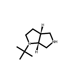 CC(C)(C)N1CC[C@@H]2CNC[C@@H]21